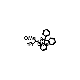 CCCC(OC)N(OC)OC(c1ccccc1)(c1ccccc1)c1ccccc1